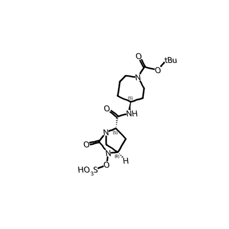 CC(C)(C)OC(=O)N1CCC[C@H](NC(=O)[C@@H]2C[C@@H]3CN2C(=O)N3OS(=O)(=O)O)CC1